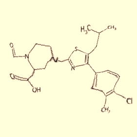 Cc1cc(-c2nc(N3CCN(C=O)C(C(=O)O)C3)sc2CC(C)C)ccc1Cl